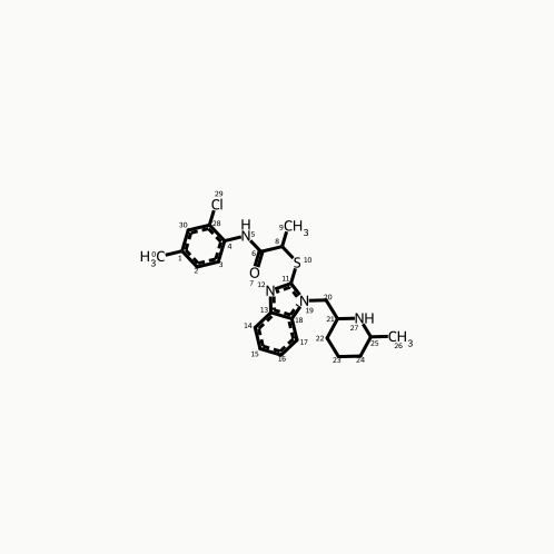 Cc1ccc(NC(=O)C(C)Sc2nc3ccccc3n2CC2CCCC(C)N2)c(Cl)c1